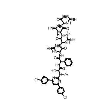 CCCN(c1nc(-c2ccc(Cl)cc2)cc(-c2ccc(Cl)cc2)n1)C(O)C(=O)NC(C(=O)NC(NC(=N)N)C(=O)NC(NC(=N)N)C(=O)NC(NC(=N)N)C(=O)NC(NC(=N)N)C(N)=O)c1ccccc1